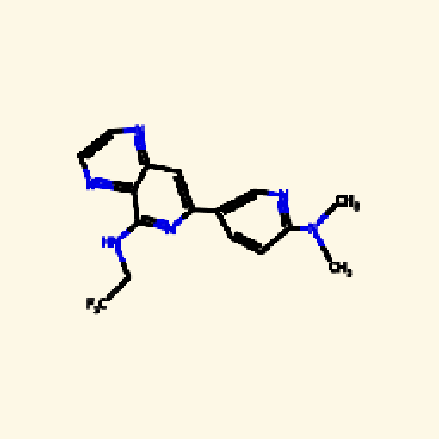 CN(C)c1ccc(-c2cc3nccnc3c(NCC(F)(F)F)n2)cn1